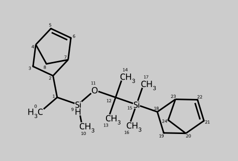 CC(C1CC2C=CC1C2)[SiH](C)OC(C)(C)[Si](C)(C)C1CC2C=CC1C2